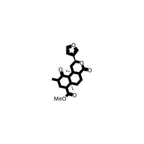 COC(=O)C1CC(C)C(=O)C2[C@@]1(C)CCC1C(=O)O[C@H](c3ccoc3)C[C@@]12C